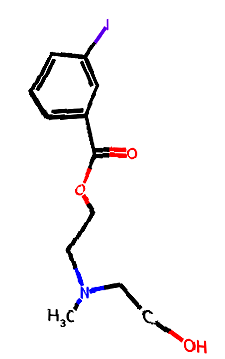 CN(CCO)CCOC(=O)c1cccc(I)c1